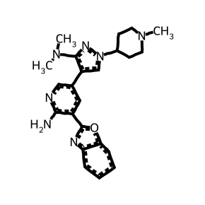 CN1CCC(n2cc(-c3cnc(N)c(-c4nc5ccccc5o4)c3)c(N(C)C)n2)CC1